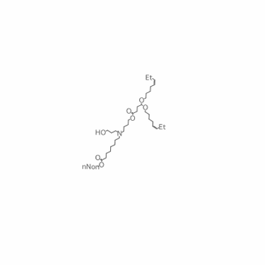 CC/C=C\CCCCOC(CCC(=O)OCCCCN(CCCO)CCCCCCCC(=O)OCCCCCCCCC)OCCCC/C=C\CC